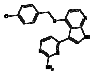 Nc1nccc(-c2c[nH]c3nccc(OCc4ccc(Cl)cc4)c23)n1